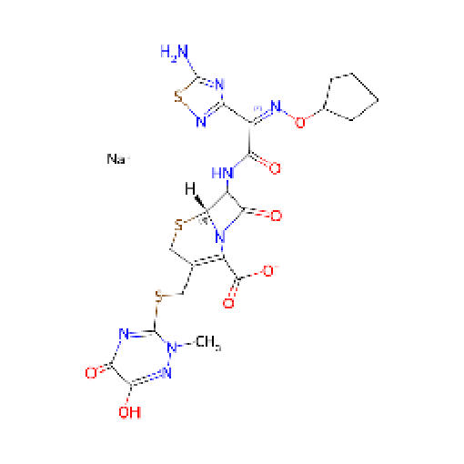 Cn1nc(O)c(=O)nc1SCC1=C(C(=O)[O-])N2C(=O)C(NC(=O)/C(=N\OC3CCCC3)c3nsc(N)n3)[C@H]2SC1.[Na+]